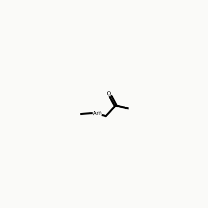 [CH3][Am][CH2]C(C)=O